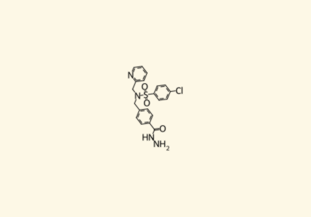 NNC(=O)c1ccc(CN(Cc2ccccn2)S(=O)(=O)c2ccc(Cl)cc2)cc1